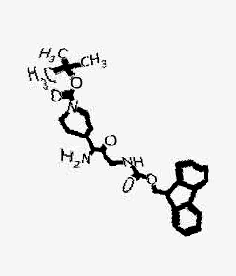 CC(C)(C)OC(=O)N1CCC(C(N)C(=O)CNC(=O)OCC2c3ccccc3-c3ccccc32)CC1